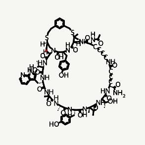 CC(=O)N[C@H]1CCCCNC(=O)CCC[C@@H](C(N)=O)NC(=O)[C@H]([C@@H](C)O)NC(=O)[C@](C)(C(C)C)NC(=O)[C@H](Cc2ccc(O)cc2)NC(=O)[C@H](C)NC(=O)C(C)(C)NC(=O)[C@H](Cc2c[nH]c3ncccc23)NC(=O)[C@H]([C@@H](C)O)NC(=O)[C@H]2C[C@@H]3CN2C(=O)[C@H](Cc2ccc(O)cc2)NC(=O)[C@@H](NC1=O)C(C)(C)SCc1cccc(c1)CCS3